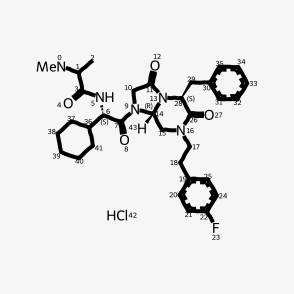 CNC(C)C(=O)N[C@H](C(=O)N1CC(=O)N2[C@@H]1CN(CCc1ccc(F)cc1)C(=O)[C@@H]2Cc1ccccc1)C1CCCCC1.Cl